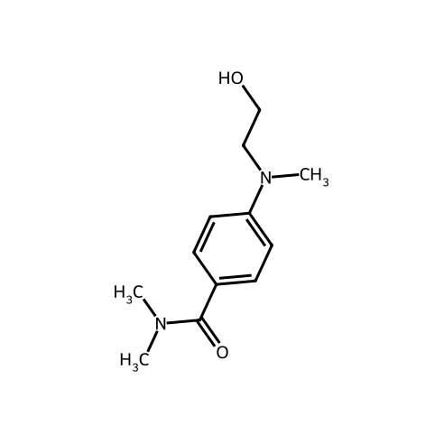 CN(C)C(=O)c1ccc(N(C)CCO)cc1